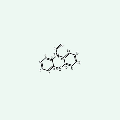 C=CN1c2ccccc2Sc2ccccc21